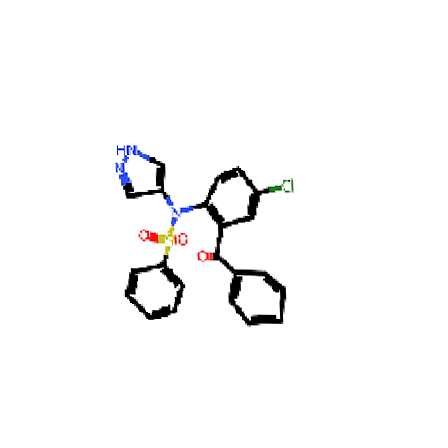 O=C(c1ccccc1)c1cc(Cl)ccc1N(c1cn[nH]c1)S(=O)(=O)c1ccccc1